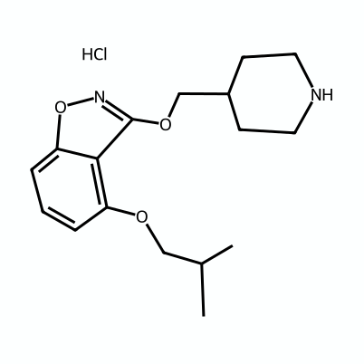 CC(C)COc1cccc2onc(OCC3CCNCC3)c12.Cl